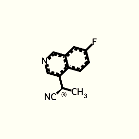 C[C@@H](C#N)c1cncc2cc(F)ccc12